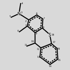 Cc1c(N(C)C)ccc2c1C(C)c1ccccc1S2